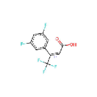 O=C(O)/C=C(\c1cc(F)cc(F)c1)C(F)(F)F